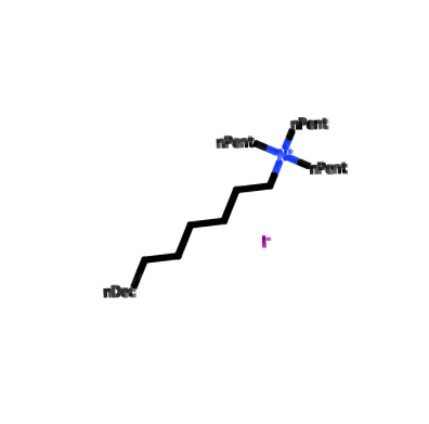 CCCCCCCCCCCCCCCC[N+](CCCCC)(CCCCC)CCCCC.[I-]